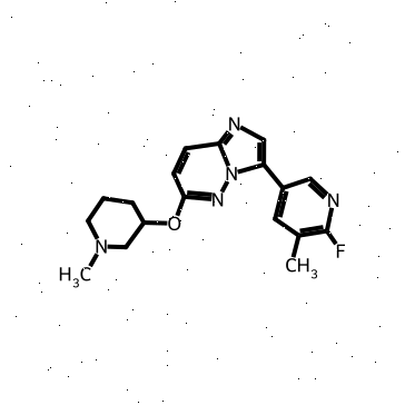 Cc1cc(-c2cnc3ccc(OC4CCCN(C)C4)nn23)cnc1F